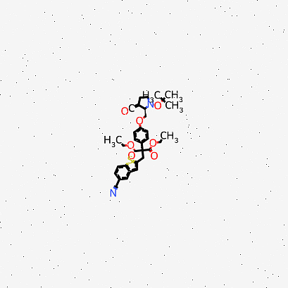 CCOC(=O)C(Cc1cc2cc(C#N)ccc2s1)(C(=O)OCC)c1ccc(OC[C@H]2C(=C=O)CCN2OC(C)(C)C)cc1